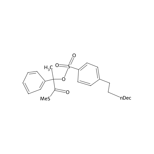 CCCCCCCCCCCCc1ccc(S(=O)(=O)OC(C)(C(=O)SC)c2ccccc2)cc1